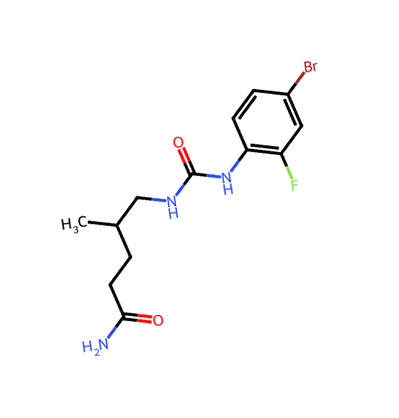 CC(CCC(N)=O)CNC(=O)Nc1ccc(Br)cc1F